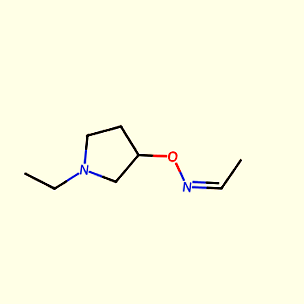 C/C=N\OC1CCN(CC)C1